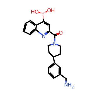 NCc1cccc(C2CCN(C(=O)c3cc(B(O)O)c4ccccc4n3)CC2)c1